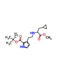 COC(=O)C(CC1CC1)NCCc1cc[nH]c1C(=O)OC(C)(C)C